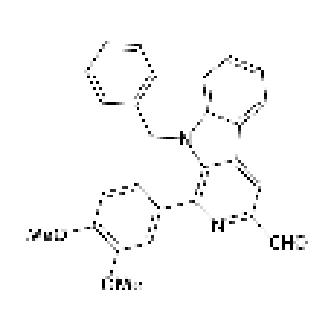 COc1ccc(-c2nc(C=O)cc3c4ccccc4n(Cc4ccccc4)c23)cc1OC